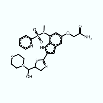 CN(c1cc(OCC(N)=O)cc2cc(C3=NCC(C(O)N4CCSCC4)S3)[nH]c12)S(=O)(=O)c1ccccn1